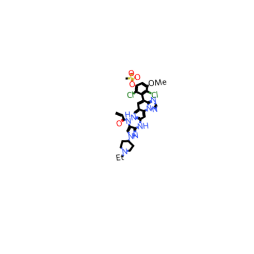 C=CC(=O)Nc1cn(C2CCN(CC)CC2)nc1Nc1cc2c(cn1)cc(-c1c(Cl)c(OC)cc(OS(C)(=O)=O)c1Cl)c1ncnn12